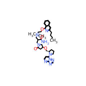 CCCCc1cc2ccccc2c(OCC[N+](C)(C)CC(CN2CC(OC[C@H]3CCCN3c3ccnc4ncnn34)CC2=O)C(N)=O)n1